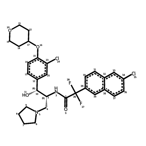 O=C(N[C@H](CN1CCCC1)[C@H](O)c1ccc(OC2CCOCC2)c(Cl)c1)C(F)(F)c1ccc2cc(Cl)ccc2c1